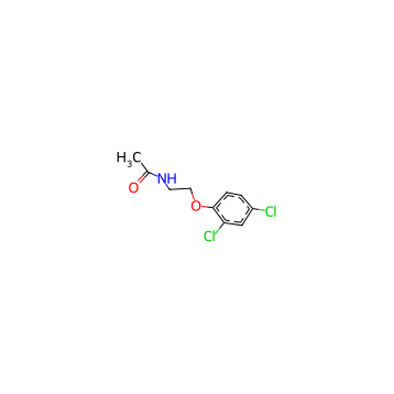 CC(=O)NCCOc1ccc(Cl)cc1Cl